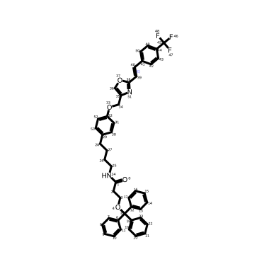 O=C(CCOC(c1ccccc1)(c1ccccc1)c1ccccc1)NCCCCc1ccc(OCc2coc(/C=C/c3ccc(C(F)(F)F)cc3)n2)cc1